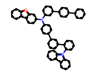 c1ccc(-c2ccc(-c3cccc(N(c4ccc(-c5cccc(-c6ccccc6-n6c7ccccc7c7ccccc76)c5)cc4)c4ccc5c(c4)oc4ccccc45)c3)cc2)cc1